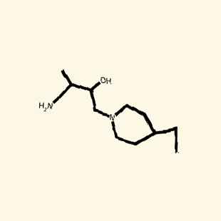 [CH2]CC1CCN(CC(O)C(C)N)CC1